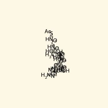 CC(=O)SCCNC(=O)CCNC(=O)C(O)C(C)(C)COP(=O)(O)OP(=O)(O)OCC1OC(n2cnc3c(N)ncnc32)C(O)C1OP(=O)(O)O